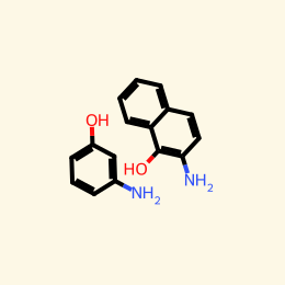 Nc1ccc2ccccc2c1O.Nc1cccc(O)c1